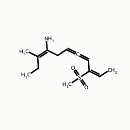 C/C=C(\C=C=CC/C(N)=C(/C)CC)S(C)(=O)=O